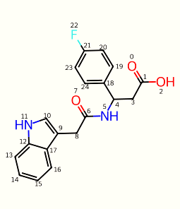 O=C(O)CC(NC(=O)Cc1c[nH]c2ccccc12)c1ccc(F)cc1